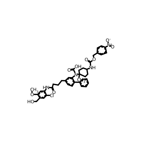 COc1cc(NC(=O)CCCc2ccc(-c3ccccc3)c(N(C(=O)O)C3(C)CCC(NC(=O)OCc4ccc([N+](=O)[O-])cc4)CC3)c2)c(Cl)cc1CO